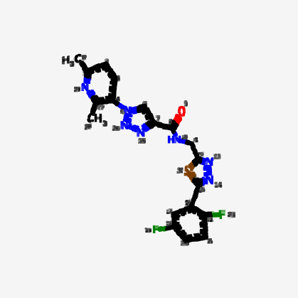 Cc1ccc(-n2cc(C(=O)NCc3nnc(-c4cc(F)ccc4F)s3)nn2)c(C)n1